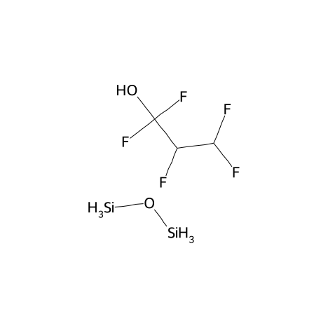 OC(F)(F)C(F)C(F)F.[SiH3]O[SiH3]